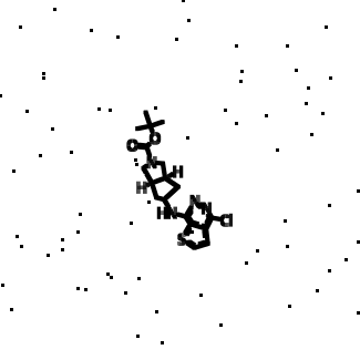 CC(C)(C)OC(=O)N1C[C@H]2CC(Nc3nnc(Cl)c4ccsc34)C[C@H]2C1